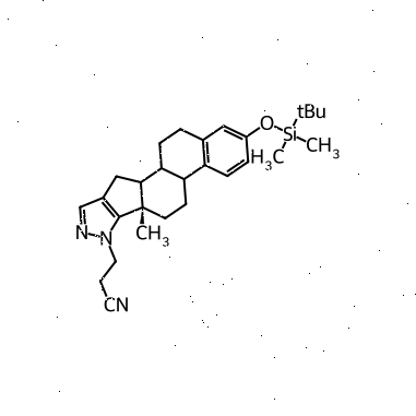 CC(C)(C)[Si](C)(C)Oc1ccc2c(c1)CCC1C2CC[C@]2(C)c3c(cnn3CCC#N)CC12